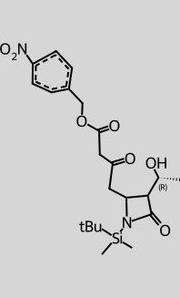 C[C@@H](O)C1C(=O)N([Si](C)(C)C(C)(C)C)C1CC(=O)CC(=O)OCc1ccc([N+](=O)[O-])cc1